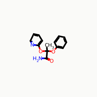 CC(Oc1ccccc1)(Oc1ccccn1)C(N)=O